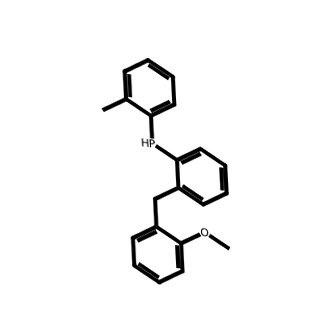 COc1ccccc1Cc1ccccc1Pc1ccccc1C